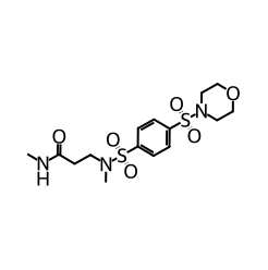 CNC(=O)CCN(C)S(=O)(=O)c1ccc(S(=O)(=O)N2CCOCC2)cc1